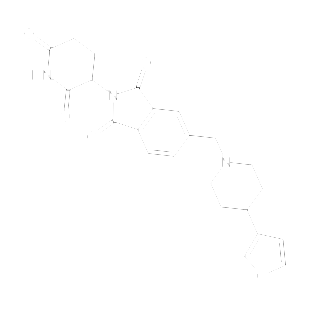 O=C1CCC(N2C(=O)c3ccc(CN4CCC(c5ccoc5)CC4)cc3C2=O)C(=O)N1